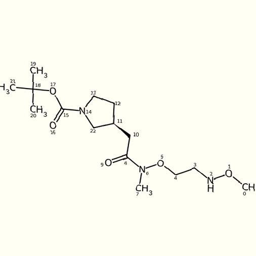 CONCCON(C)C(=O)C[C@@H]1CCN(C(=O)OC(C)(C)C)C1